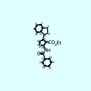 CCOC(=O)c1c(C2CCc3ccccc32)csc1NC(=O)c1ccccc1